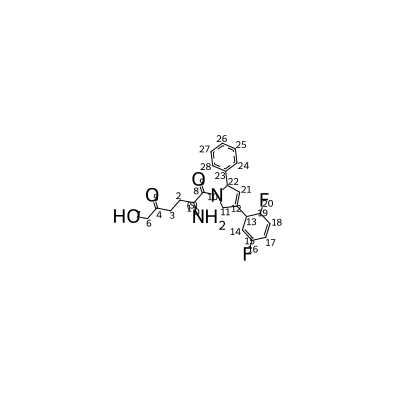 N[C@@H](CCC(=O)CO)C(=O)N1CC(C2C=C(F)C=CC2F)=CC1c1ccccc1